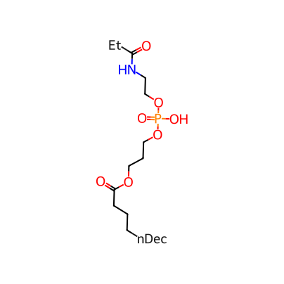 CCCCCCCCCCCCCC(=O)OCCCOP(=O)(O)OCCNC(=O)CC